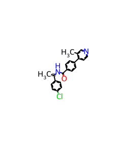 Cc1cnccc1-c1ccc(C(=O)N[C@H](C)c2ccc(Cl)cc2)cc1